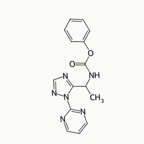 CC(NC(=O)Oc1ccccc1)c1ncnn1-c1ncccn1